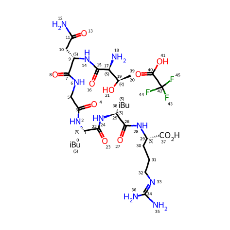 CC[C@H](C)[C@H](NC(=O)CNC(=O)[C@H](CC(N)=O)NC(=O)[C@@H](N)[C@@H](C)O)C(=O)N[C@H](C(=O)N[C@@H](CCCN=C(N)N)C(=O)O)[C@@H](C)CC.O=C(O)C(F)(F)F